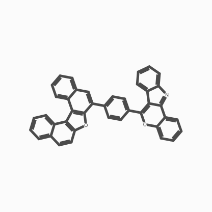 c1ccc2c(c1)ccc1oc3c(-c4ccc(-c5oc6ccccc6c6nc7ccccc7c5-6)cc4)cc4ccccc4c3c12